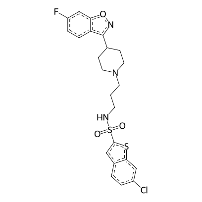 O=S(=O)(NCCCN1CCC(c2noc3cc(F)ccc23)CC1)c1cc2ccc(Cl)cc2s1